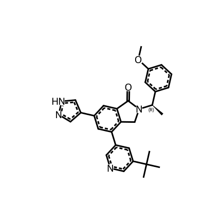 COc1cccc([C@@H](C)N2Cc3c(cc(-c4cn[nH]c4)cc3-c3cncc(C(C)(C)C)c3)C2=O)c1